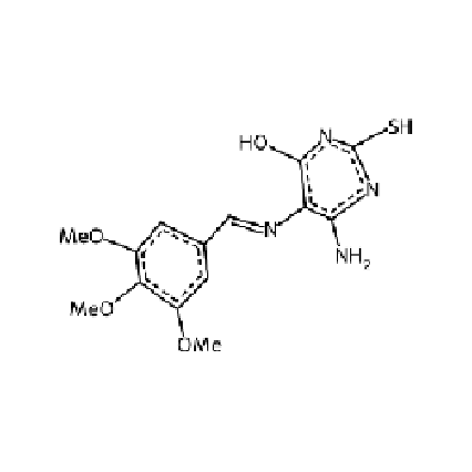 COc1cc(/C=N/c2c(N)nc(S)nc2O)cc(OC)c1OC